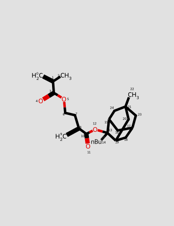 C=C(C)C(=O)OCCC(=C)C(=O)OC1(CCCC)C2CC3CC1CC(C)(C3)C2